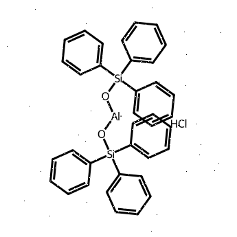 Cl.c1ccc([Si]([O][Al][O][Si](c2ccccc2)(c2ccccc2)c2ccccc2)(c2ccccc2)c2ccccc2)cc1